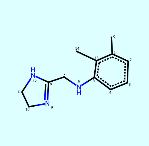 Cc1cccc(NCC2=NCCN2)c1C